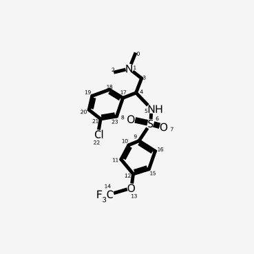 CN(C)CC(NS(=O)(=O)c1ccc(OC(F)(F)F)cc1)c1cccc(Cl)c1